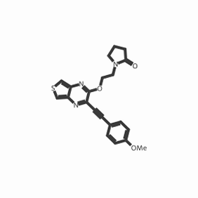 COc1ccc(C#Cc2nc3cscc3nc2OCCN2CCCC2=O)cc1